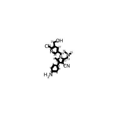 Cc1c(-c2ccc(N)cc2)c(C#N)c(CN(C)C)n1Cc1cnc(Cl)c(CO)c1